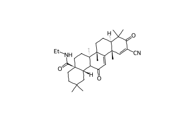 CCNC(=O)[C@]12CCC(C)(C)C[C@H]1C1C(=O)C=C3[C@@]4(C)C=C(C#N)C(=O)C(C)(C)[C@@H]4CC[C@@]3(C)[C@]1(C)CC2